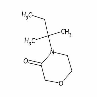 CCC(C)(C)N1CCOCC1=O